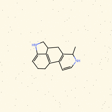 CC1NC=CC2=C1CC1CNC3=CCCC2=C31